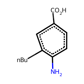 CCCCc1cc(C(=O)O)ccc1N